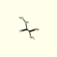 N=C(N)C(=O)NO